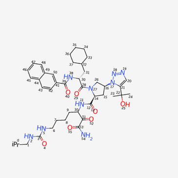 CC(C)CNC(=O)NCCCCC(NC(=O)[C@@H]1C[C@H](n2nncc2C(C)(C)O)CN1C(=O)[C@@H](CC1CCCCC1)NC(=O)c1ccc2ccccc2c1)C(=O)C(N)=O